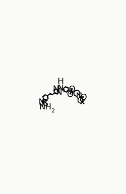 CC(C)(C)OC(=O)N1CCCC(S(=O)(=O)c2ccc(Nc3ncc(C=Cc4ccc5nc(N)sc5c4)cn3)cc2)CC1